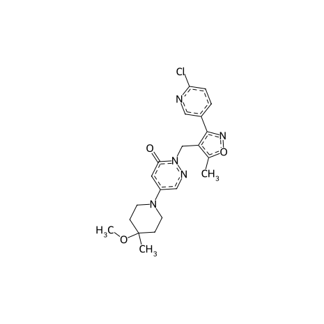 COC1(C)CCN(c2cnn(Cc3c(-c4ccc(Cl)nc4)noc3C)c(=O)c2)CC1